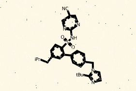 CC(C)Cc1ccc(S(=O)(=O)Nc2ncc(C#N)cn2)c(-c2ccc(Cn3ccnc3C(C)(C)C)cc2)c1